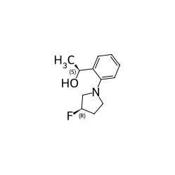 C[C@H](O)c1ccccc1N1CC[C@@H](F)C1